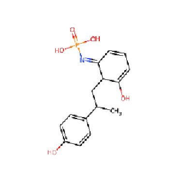 CC(CC1C(O)=CC=C/C1=N\P(=O)(O)O)c1ccc(O)cc1